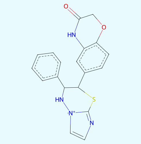 O=C1COc2ccc(C3SC4=NC=C[N+]4NC3c3ccccc3)cc2N1